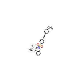 Cc1ccc(C#Cc2ccc(S(=O)(=O)N(Cc3ccccc3)[C@H](C)C(=O)O)cc2)cc1